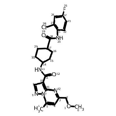 COCc1cc(C)n2ncc(C(=O)NC3CCC(C(=O)Nc4ccc(F)cc4Cl)CC3)c2n1